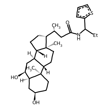 CCC(NC(=O)C[C@@H](C)[C@H]1CC[C@H]2[C@@H]3C[C@H](O)[C@@H]4C[C@H](O)CC[C@]4(C)[C@H]3CC[C@]12C)c1cccs1